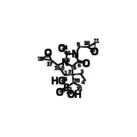 CCC(CC)(C1C(=O)N(CC2CO2)C(=O)N1CC1CO1)C(C)P(=O)(O)O